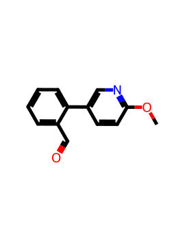 COc1ccc(-c2ccccc2C=O)cn1